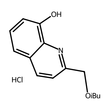 CC(C)COCc1ccc2cccc(O)c2n1.Cl